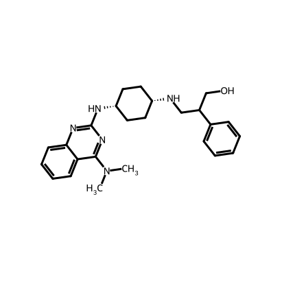 CN(C)c1nc(N[C@H]2CC[C@@H](NCC(CO)c3ccccc3)CC2)nc2ccccc12